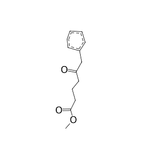 COC(=O)CCCC(=O)Cc1ccccc1